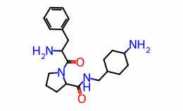 NC1CCC(CNC(=O)C2CCCN2C(=O)C(N)Cc2ccccc2)CC1